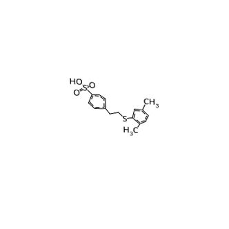 Cc1ccc(C)c(SCCc2ccc(S(=O)(=O)O)cc2)c1